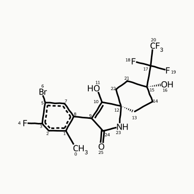 Cc1cc(F)c(Br)cc1C1=C(O)[C@]2(CC[C@](O)(C(F)(F)C(F)(F)F)CC2)NC1=O